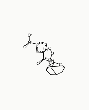 COC(=O)C12CC3CC(C1)C(NC(=O)c1cccc([N+](=O)[O-])c1)C(C3)C2